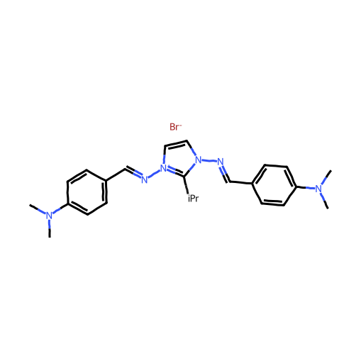 CC(C)c1n(/N=C/c2ccc(N(C)C)cc2)cc[n+]1/N=C/c1ccc(N(C)C)cc1.[Br-]